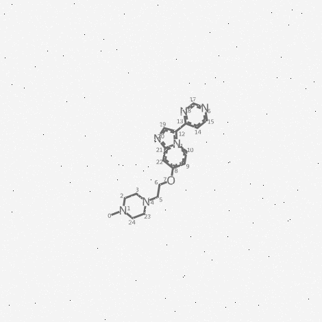 CN1CCN(CCOc2ccn3c(-c4ccncn4)cnc3c2)CC1